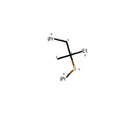 CCC(C)(CC(C)C)SC(C)C